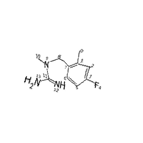 Cc1cc(F)ccc1CN(C)C(=N)N